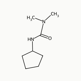 CN(C)C(=O)NC1CCCC1